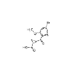 COc1cc(Br)cnc1C(=O)C1CC1C(=O)O